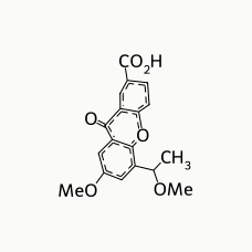 COc1cc(C(C)OC)c2oc3ccc(C(=O)O)cc3c(=O)c2c1